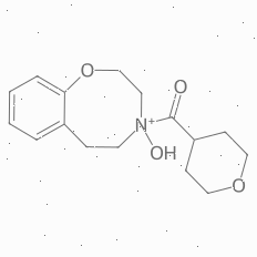 O=C(C1CCOCC1)[N+]1(O)CCOc2ccccc2CC1